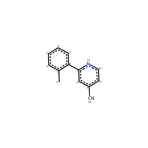 Cc1ccccc1-c1cc(C#N)ccn1